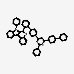 c1ccc(-c2ccc(-c3cc(-c4ccc(-c5ccccc5-c5nc6ccccc6c6c7ccccc7n(-c7ccccc7)c56)cc4)nc(-c4ccccc4)n3)cc2)cc1